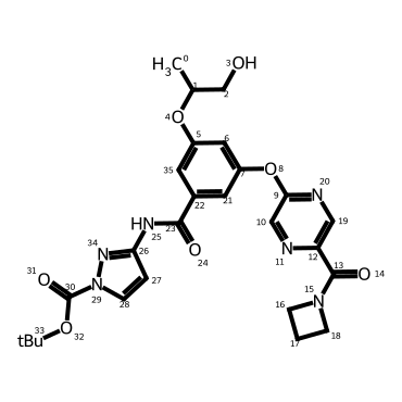 CC(CO)Oc1cc(Oc2cnc(C(=O)N3CCC3)cn2)cc(C(=O)Nc2ccn(C(=O)OC(C)(C)C)n2)c1